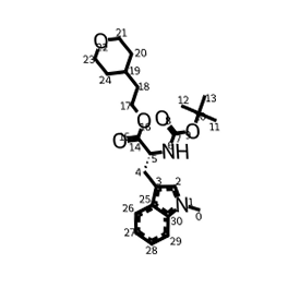 Cn1cc(C[C@@H](NC(=O)OC(C)(C)C)C(=O)OCCC2CCOCC2)c2ccccc21